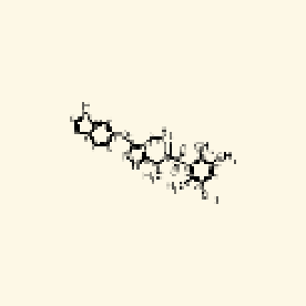 CCn1c(Oc2ccc3cc[nH]c3c2)nnc1[C@@H](C)NS(=O)(=O)c1c(C)c(C)cc(C)c1C